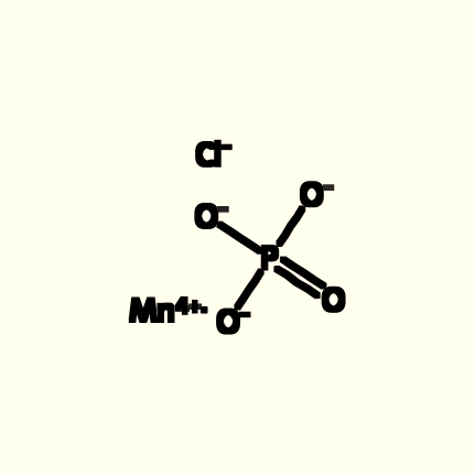 O=P([O-])([O-])[O-].[Cl-].[Mn+4]